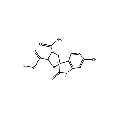 CC(C)(C)OC(=O)N1C[C@]2(C[C@H]1C(N)=O)C(=O)Nc1cc(C#N)ccc12